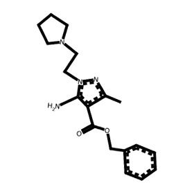 Cc1nn(CCN2CCCC2)c(N)c1C(=O)OCc1ccccc1